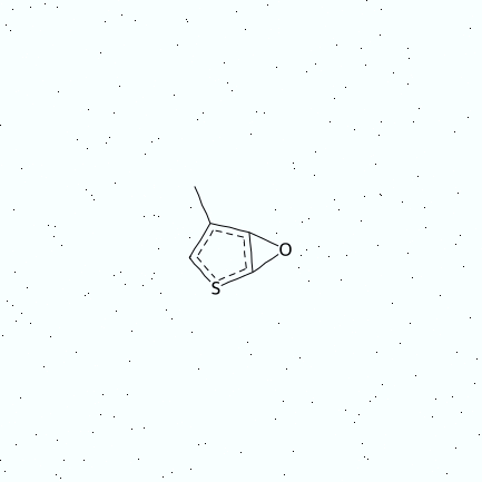 Cc1csc2c1O2